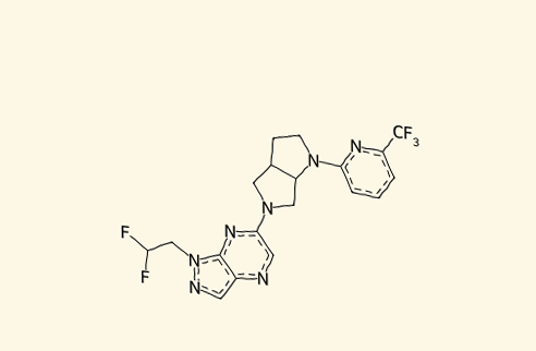 FC(F)Cn1ncc2ncc(N3CC4CCN(c5cccc(C(F)(F)F)n5)C4C3)nc21